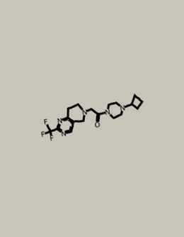 O=C(CN1CCc2nc(C(F)(F)F)ncc2C1)N1CCN(C2CCC2)CC1